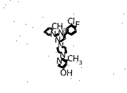 Cc1cc(O)cnc1N1CCN(c2cc(-c3ccc(F)c(Cl)c3)nc(N3CCCC3C)n2)CC1